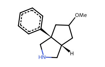 COC1C[C@@H]2CNC[C@]2(c2ccccc2)C1